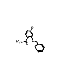 CC(=O)c1ccc(Br)cc1SCc1ccccc1